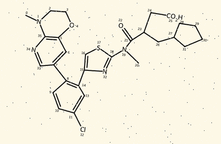 CN1CCOc2cc(-c3ccc(Cl)cc3-c3csc(N(C)C(=O)C(CC(=O)O)CC4CCCC4)n3)cnc21